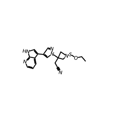 CCOSN1CC(CC#N)(n2cc(-c3c[nH]c4ncccc34)cn2)C1